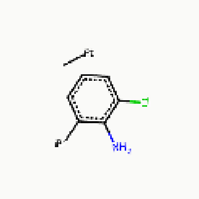 CC(C)c1cccc(Cl)c1N.CCC